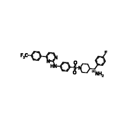 N[C@@H](c1ccc(F)cc1)C1CCN(S(=O)(=O)c2ccc(Nc3nccc(-c4ccc(C(F)(F)F)cc4)n3)cc2)CC1